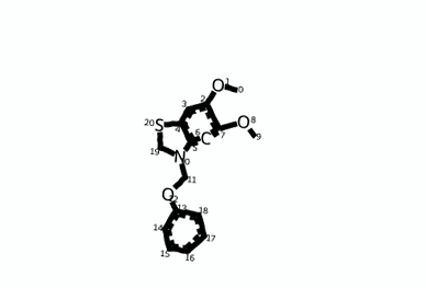 COc1cc2c(cc1OC)N(COc1[c]cccc1)CS2